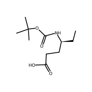 CC[C@@H](CCC(=O)O)NC(=O)OC(C)(C)C